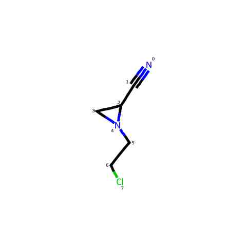 N#CC1CN1CCCl